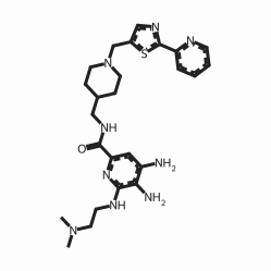 CN(C)CCNc1nc(C(=O)NCC2CCN(Cc3cnc(-c4ccccn4)s3)CC2)cc(N)c1N